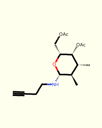 C#CCCN[C@@H]1O[C@H](COC(C)=O)[C@H](OC(C)=O)[C@H](C)[C@H]1C